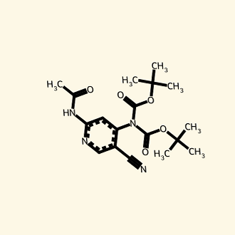 CC(=O)Nc1cc(N(C(=O)OC(C)(C)C)C(=O)OC(C)(C)C)c(C#N)cn1